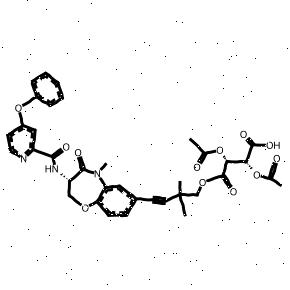 CC(=O)O[C@@H](C(=O)O)[C@@H](OC(C)=O)C(=O)OCC(C)(C)C#Cc1ccc2c(c1)N(C)C(=O)[C@@H](NC(=O)c1cc(Oc3ccccc3)ccn1)CO2